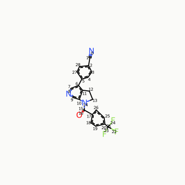 N#Cc1ccc(-c2cncc3c2CCN3C(=O)c2ccc(C(F)(F)F)cc2)cc1